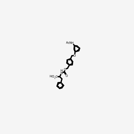 CC(=O)Nc1cccc(OCc2ccc(COC(=O)NC(Cc3ccccc3)C(=O)O)cc2)c1